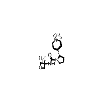 CN1CCC([C@@H]2CCCN2C(=O)NC2(C)COC2)CC1